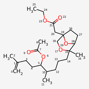 C=C(C)CCC(OC(C)=O)C(C)CCCC1(C)OCC2(CC(=O)OCC)CCC1O2